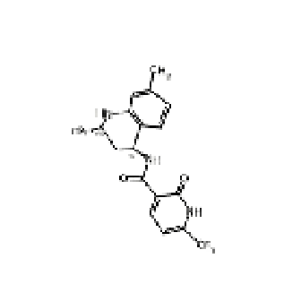 CCC[C@@H]1C[C@H](NC(=O)c2ccc(C(F)(F)F)[nH]c2=O)c2ccc(C)cc2N1